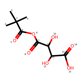 CC(C)(C)C(=O)OC(=O)C(O)C(O)C(=O)O